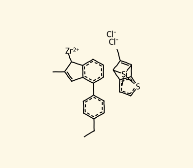 CC1=C2c3sccc3C1[Si]2(C)C.CCc1ccc(-c2cccc3c2C=C(C)[CH]3[Zr+2])cc1.[Cl-].[Cl-]